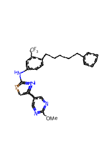 COc1ncc(-c2csc(Nc3ccc(CCCCCc4ccccc4)c(C(F)(F)F)c3)n2)cn1